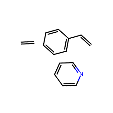 C=C.C=Cc1ccccc1.c1ccncc1